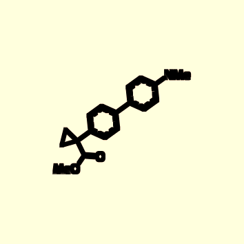 CNc1ccc(-c2ccc(C3(C(=O)OC)CC3)cc2)cc1